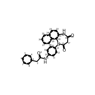 O=C(Cc1ccccc1)Nc1ccc(N2C(=O)CC(=O)Nc3ccc4ccccc4c32)cc1